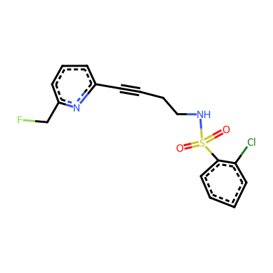 O=S(=O)(NCCC#Cc1cccc(CF)n1)c1ccccc1Cl